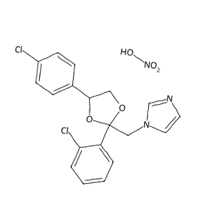 Clc1ccc(C2COC(Cn3ccnc3)(c3ccccc3Cl)O2)cc1.O=[N+]([O-])O